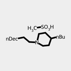 CCCCCCCCCCCCN1CCC(CCCC)CC1.CS(=O)(=O)O